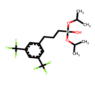 CC(C)O[Si](O)(CCCc1cc(C(F)(F)F)cc(C(F)(F)F)c1)OC(C)C